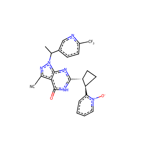 CC(c1ccc(C(F)(F)F)nc1)n1nc(C#N)c2c(=O)[nH]c([C@@H]3CC[C@H]3c3cccc[n+]3[O-])nc21